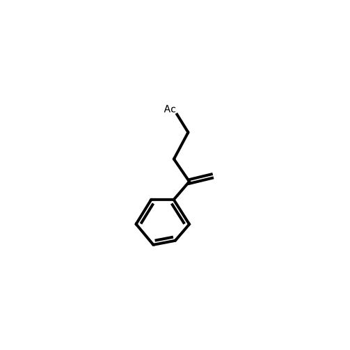 C=C(CCC(C)=O)c1ccccc1